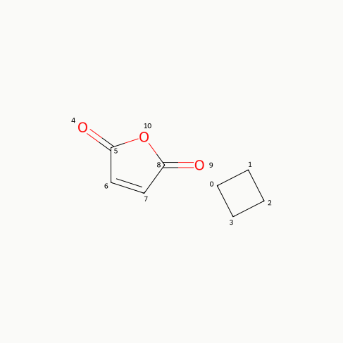 C1CCC1.O=C1C=CC(=O)O1